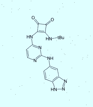 CC(C)(C)Nc1c(Nc2ccnc(Nc3ccc4[nH]nnc4c3)n2)c(=O)c1=O